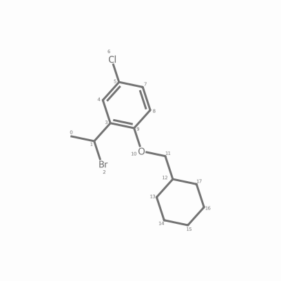 CC(Br)c1cc(Cl)ccc1OCC1CCCCC1